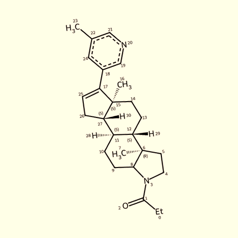 CCC(=O)N1CC[C@@]2(C)C1CC[C@@H]1[C@@H]2CC[C@]2(C)C(c3cncc(C)c3)=CC[C@@H]12